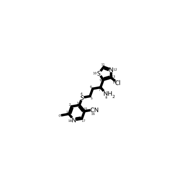 Cc1cc(SCCC(N)c2scnc2Cl)c(C#N)cn1